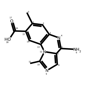 Cc1cc2nc(N)c3cnc(C)n3c2cc1C(=O)O